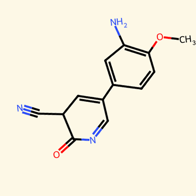 COc1ccc(C2=CC(C#N)C(=O)N=C2)cc1N